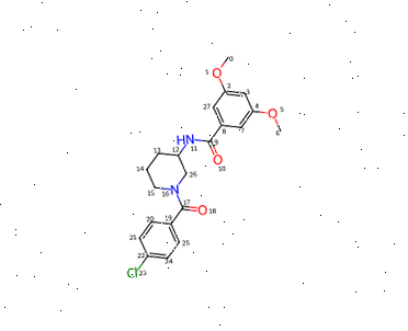 COc1cc(OC)cc(C(=O)NC2CCCN(C(=O)c3ccc(Cl)cc3)C2)c1